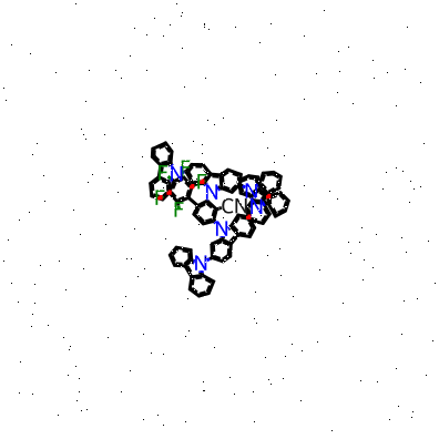 N#Cc1c(-n2c3cc(-n4c5ccccc5c5ccccc54)ccc3c3ccc(-n4c5ccccc5c5ccccc54)cc32)ccc(-c2c(F)c(F)c(F)c(F)c2F)c1-n1c2cc(-n3c4ccccc4c4ccccc43)ccc2c2ccc(-n3c4ccccc4c4ccccc43)cc21